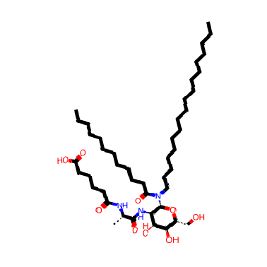 CCCCCCCCCCCCCCCCCCN(C(=O)CCCCCCCCCCC)[C@@H]1O[C@H](CO)[C@@H](O)[C@H](O)[C@H]1NC(=O)[C@H](C)NC(=O)CCCCC(=O)O